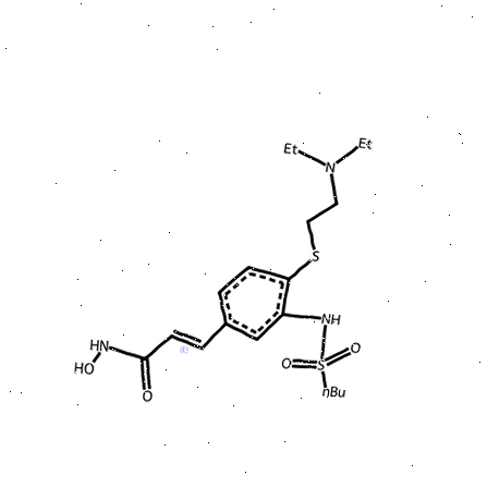 CCCCS(=O)(=O)Nc1cc(/C=C/C(=O)NO)ccc1SCCN(CC)CC